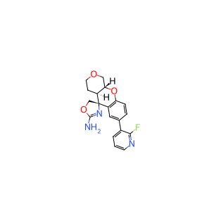 NC1=N[C@@]2(CO1)c1cc(-c3cccnc3F)ccc1O[C@H]1COCC[C@@H]12